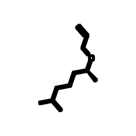 C=CCO[C@@H](C)CCCC(C)C